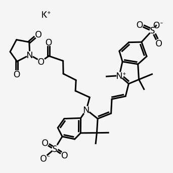 C[N+]1=C(C=CC=C2N(CCCCCC(=O)ON3C(=O)CCC3=O)c3ccc(S(=O)(=O)[O-])cc3C2(C)C)C(C)(C)c2cc(S(=O)(=O)[O-])ccc21.[K+]